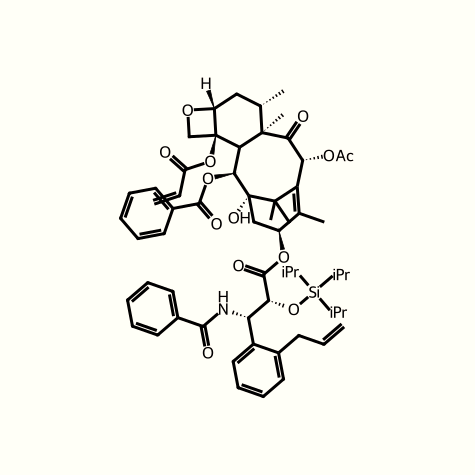 C=CCc1ccccc1[C@H](NC(=O)c1ccccc1)[C@@H](O[Si](C(C)C)(C(C)C)C(C)C)C(=O)O[C@H]1C[C@@]2(O)[C@@H](OC(=O)c3ccccc3)C3[C@](C)(C(=O)[C@H](OC(C)=O)C(=C1C)C2(C)C)[C@@H](C)C[C@H]1OC[C@@]31OC(=O)C=C